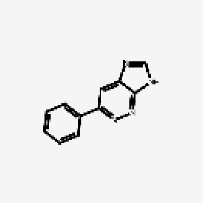 c1ccc(-c2cc3nc[nH]c3nn2)cc1